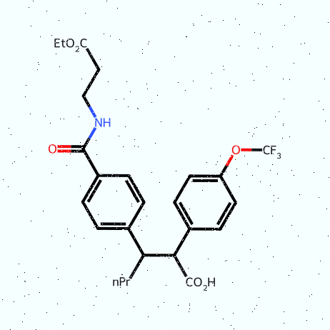 CCCC(c1ccc(C(=O)NCCC(=O)OCC)cc1)C(C(=O)O)c1ccc(OC(F)(F)F)cc1